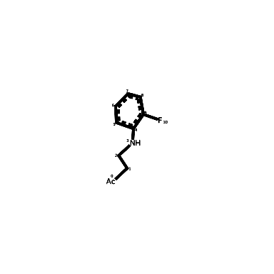 CC(=O)CCNc1ccccc1F